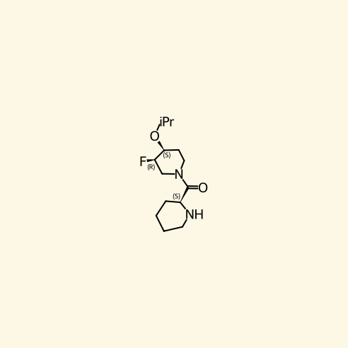 CC(C)O[C@H]1CCN(C(=O)[C@@H]2CCCCN2)C[C@H]1F